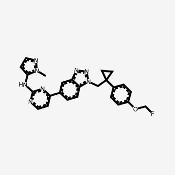 Cn1nccc1Nc1nccc(-c2ccc3c(c2)nnn3CC2(c3ccc(OCF)cc3)CC2)n1